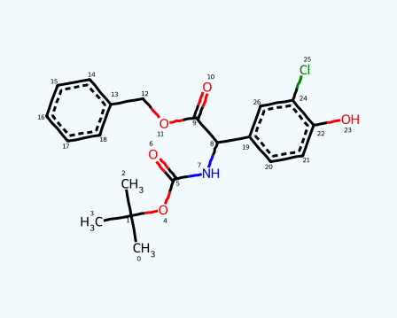 CC(C)(C)OC(=O)NC(C(=O)OCc1ccccc1)c1ccc(O)c(Cl)c1